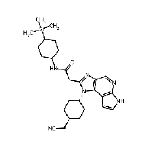 C[Si](C)(C)C1CCC(NC(=O)Cc2nc3cnc4[nH]ccc4c3n2[C@H]2CC[C@H](CC#N)CC2)CC1